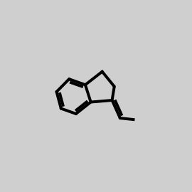 CC=C1CCc2ccccc21